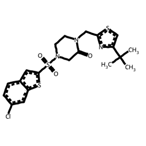 CC(C)(C)c1csc(CN2CCN(S(=O)(=O)c3cc4ccc(Cl)cc4s3)CC2=O)n1